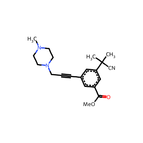 COC(=O)c1cc(C#CCN2CCN(C)CC2)cc(C(C)(C)C#N)c1